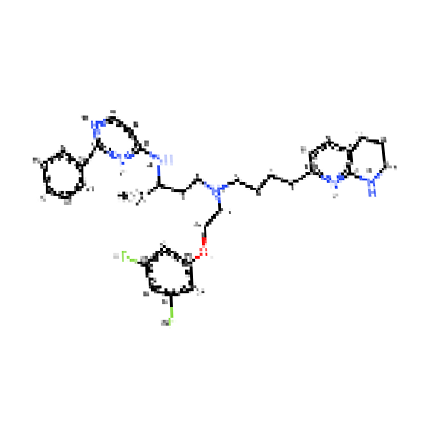 O=C(O)C(CCN(CCCCc1ccc2c(n1)NCCC2)CCOc1cc(F)cc(F)c1)Nc1ccnc(-c2ccccc2)n1